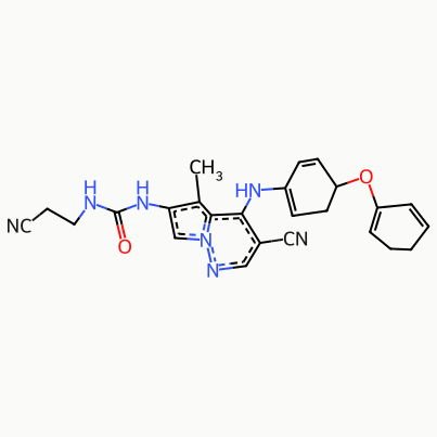 Cc1c(NC(=O)NCCC#N)cn2ncc(C#N)c(NC3=CCC(OC4=CCCC=C4)C=C3)c12